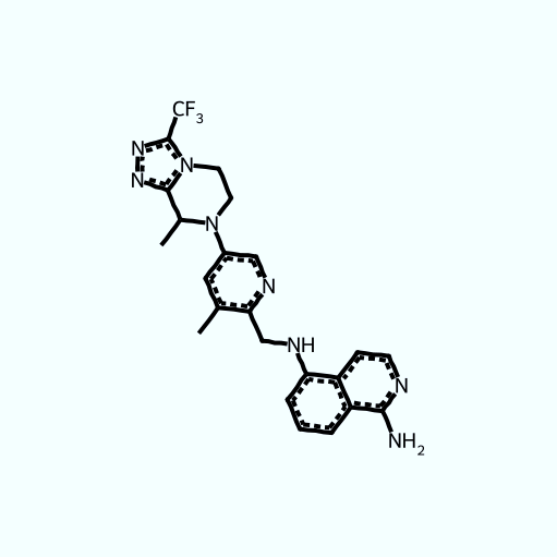 Cc1cc(N2CCn3c(nnc3C(F)(F)F)C2C)cnc1CNc1cccc2c(N)nccc12